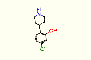 Oc1cc(Cl)ccc1C1CCNCC1